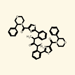 CC(C(=O)C(C)c1ccccc1-c1nc(C(=O)N2CCOCC2c2ccccc2)cs1)c1ccccc1-c1nc(C(=O)N2CCOCC2c2ccccc2)cs1